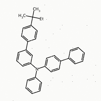 CCC(C)(C)c1ccc(-c2cccc(N(c3ccccc3)c3ccc(-c4ccccc4)cc3)c2)cc1